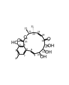 Cc1cc(O)c2c(c1)/C=C/C(O)[C@H](O)[C@H](O)C(=O)/C=C\[C@@H](C)[C@H](C)OC2=O